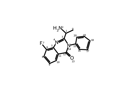 CC(N)c1nc2c(F)cccc2c(=O)n1-c1ccccc1